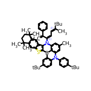 C=C(/C(=C\C=C(/C)C(C)(C)C)N1c2cc(C)cc3c2B(c2cc(C(C)(C)C)ccc2N3c2ccc(C(C)(C)C)cc2)c2sc3cc4c(cc3c21)C(C)(C)CCC4(C)C)c1ccccc1